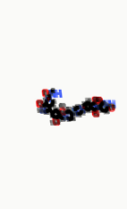 CNC(=O)N1CCc2c(-c3cc(OC)c(CN4CCC(N5CCN(c6ccc7c(c6)C(=O)N(C6CCC(=O)NC6=O)C7=O)CC5)CC4)c(OC)c3)cn(C)c(=O)c2C1